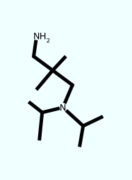 CC(C)N(CC(C)(C)CN)C(C)C